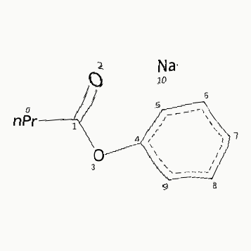 CCCC(=O)Oc1ccccc1.[Na]